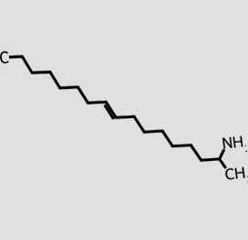 CCCCCCCC=CCCCCCCC(C)N